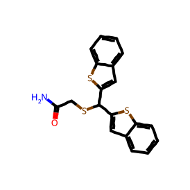 NC(=O)CSC(c1cc2ccccc2s1)c1cc2ccccc2s1